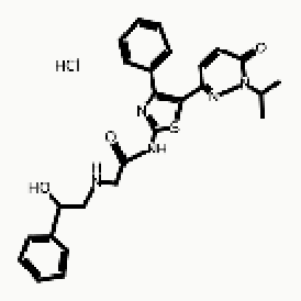 CC(C)n1nc(-c2sc(NC(=O)CNCC(O)c3ccccc3)nc2-c2ccccc2)ccc1=O.Cl